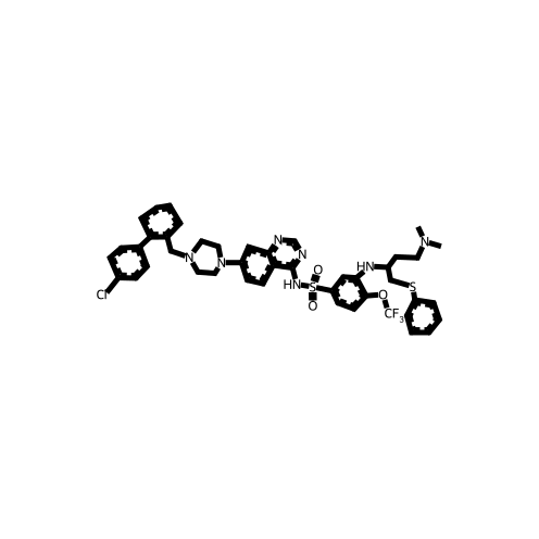 CN(C)CCC(CSc1ccccc1)Nc1cc(S(=O)(=O)Nc2ncnc3cc(N4CCN(Cc5ccccc5-c5ccc(Cl)cc5)CC4)ccc23)ccc1OC(F)(F)F